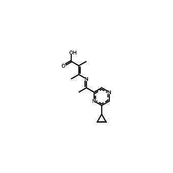 C/C(=N\C(C)=C(/C)C(=O)O)c1cncc(C2CC2)n1